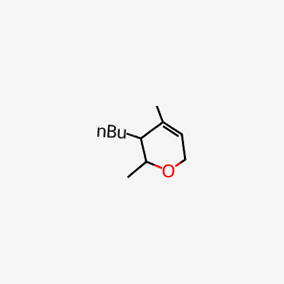 CCCCC1C(C)=CCOC1C